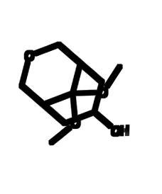 COC1(OC)C2COCC1CC(O)C2